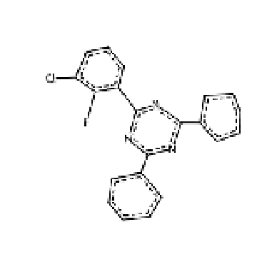 Fc1c(Cl)cccc1-c1nc(-c2ccccc2)nc(-c2ccccc2)n1